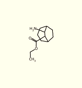 CCOC(=O)C1C2CCCC(CC2)C1N